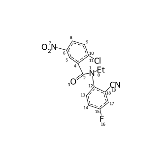 CCN(C(=O)c1cc([N+](=O)[O-])ccc1Cl)c1ccc(F)cc1C#N